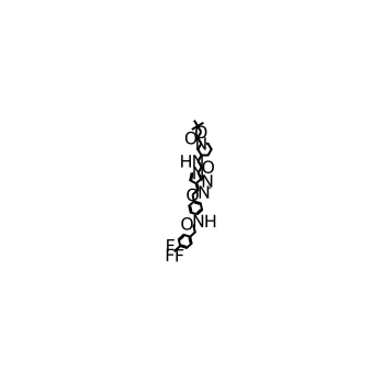 CC(C)(C)OC(=O)N1CCCC(NC(=O)n2ccc3c(Oc4ccc(NC(=O)Cc5ccc(C(F)(F)F)cc5)cc4)ncnc32)C1